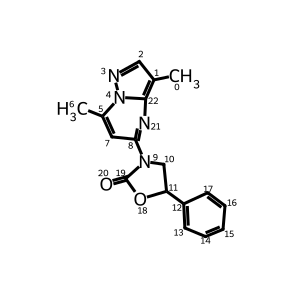 Cc1cnn2c(C)cc(N3CC(c4ccccc4)OC3=O)nc12